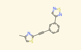 Cc1csc(C#Cc2cccc(-c3cnsn3)c2)n1